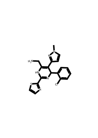 Cn1ccc(C2=C(CN)NC(c3nccs3)=NC2c2ccccc2Cl)n1